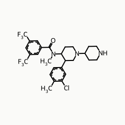 Cc1ccc(C2CN(C3CCNCC3)CCC2N(C)C(=O)c2cc(C(F)(F)F)cc(C(F)(F)F)c2)cc1Cl